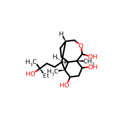 CC[C@](C)(O)CC[C@H]1[C@@H]2CC[C@H]3[C@@](C)(C(O)CC(O)[C@]13C)C(O)OC2